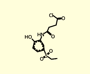 CCS(=O)(=O)c1ccc(O)c(NC(=O)CCC(=O)Cl)c1